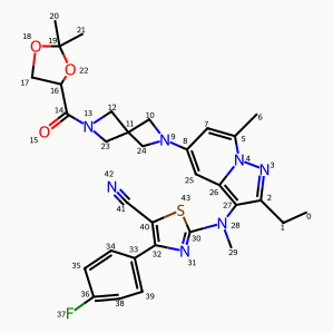 CCc1nn2c(C)cc(N3CC4(CN(C(=O)C5COC(C)(C)O5)C4)C3)cc2c1N(C)c1nc(-c2ccc(F)cc2)c(C#N)s1